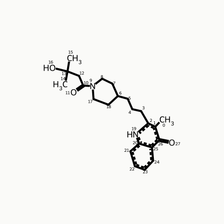 Cc1c(CCCC2CCN(C(=O)CC(C)(C)O)CC2)[nH]c2ccccc2c1=O